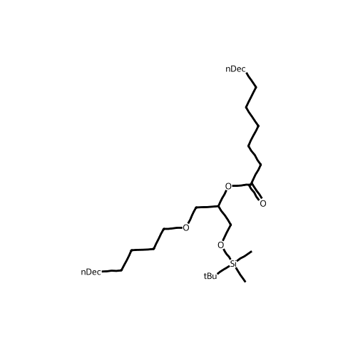 CCCCCCCCCCCCCCCC(=O)OC(COCCCCCCCCCCCCCC)CO[Si](C)(C)C(C)(C)C